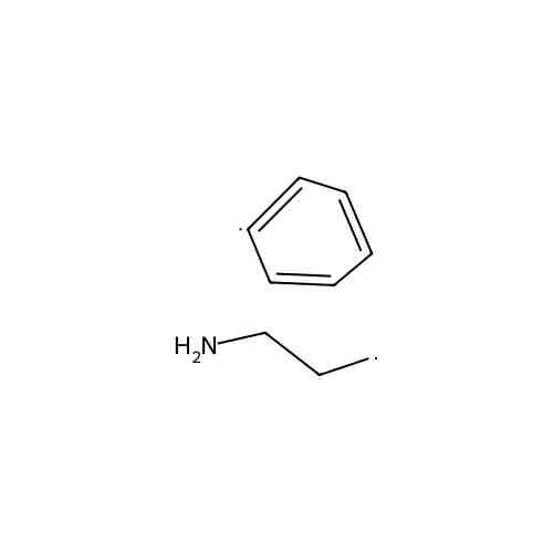 [CH2]CCN.[c]1ccccc1